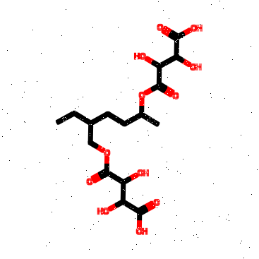 CCC(CCC(C)OC(=O)C(O)C(O)C(=O)O)COC(=O)C(O)C(O)C(=O)O